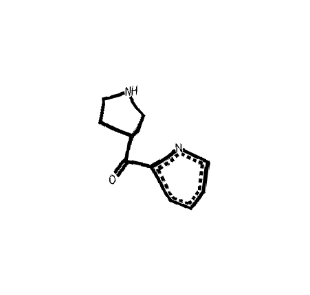 O=C(c1ccccn1)C1CCNC1